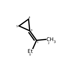 [CH2]CC(C)=C1CC1